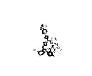 CCN(C(=O)c1cc(F)ccc1-n1cc(CC2CN(C(C(C)C)[C@H]3C[C@@H](N4CCC(S(C)(=O)=O)CC4)C3)C2)c2c(C)cncc21)C(C)C